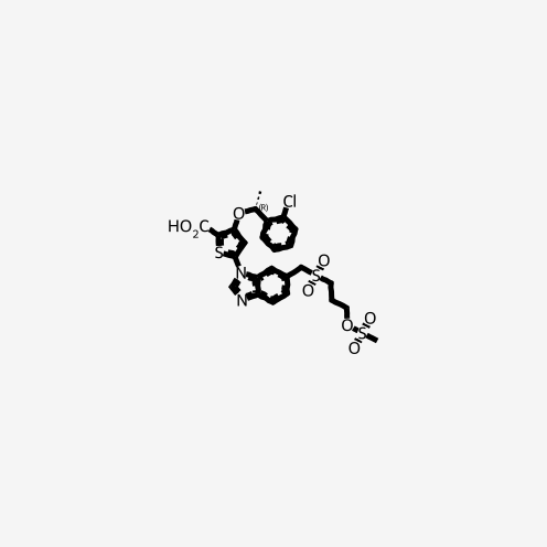 C[C@@H](Oc1cc(-n2cnc3ccc(CS(=O)(=O)CCCOS(C)(=O)=O)cc32)sc1C(=O)O)c1ccccc1Cl